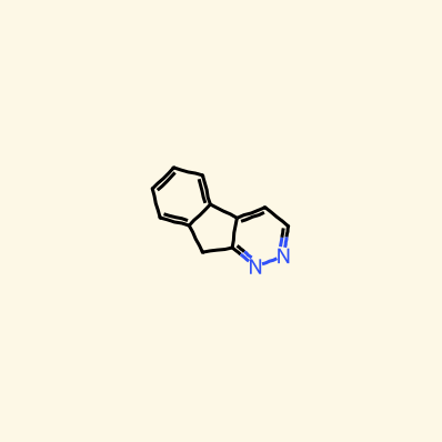 c1ccc2c(c1)Cc1nnccc1-2